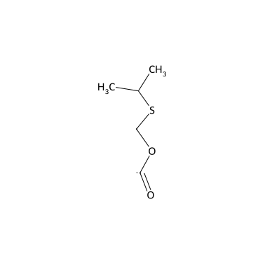 CC(C)SCO[C]=O